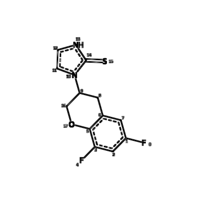 Fc1cc(F)c2c(c1)CC(n1cc[nH]c1=S)CO2